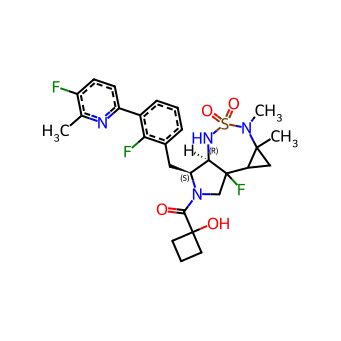 Cc1nc(-c2cccc(C[C@H]3[C@H]4NS(=O)(=O)N(C)C5(C)CC5C4(F)CN3C(=O)C3(O)CCC3)c2F)ccc1F